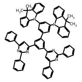 CC1(C)c2ccccc2N(c2cc(-c3cc(-c4cc(-c5ccccc5)nc(-c5ccccc5)n4)cc(-c4cc(-c5ccccc5)nc(-c5ccccc5)n4)c3)cc(N3c4ccccc4C(C)(C)c4ccccc43)c2)c2ccccc21